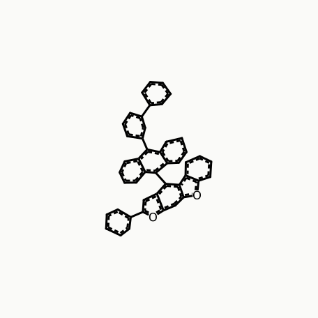 c1ccc(-c2cccc(-c3c4ccccc4c(-c4c5cc(-c6ccccc6)oc5cc5oc6ccccc6c45)c4ccccc34)c2)cc1